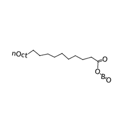 CCCCCCCCCCCCCCCCCC(=O)OB=O